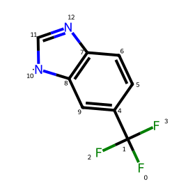 FC(F)(F)c1ccc2c(c1)[N]C=N2